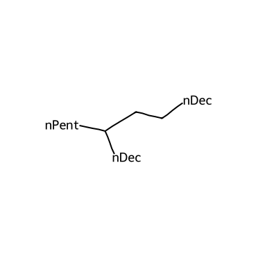 CCCCCCCCCCCCC(CCCCC)CCCCCCCCCC